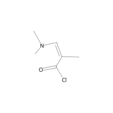 CC(=CN(C)C)C(=O)Cl